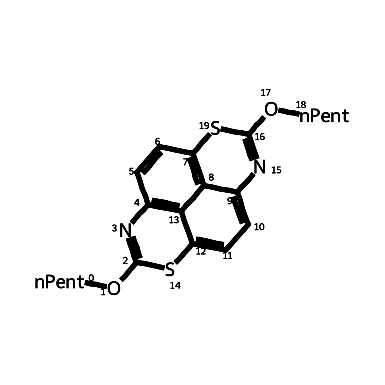 CCCCCOC1=Nc2ccc3c4c(ccc(c24)S1)N=C(OCCCCC)S3